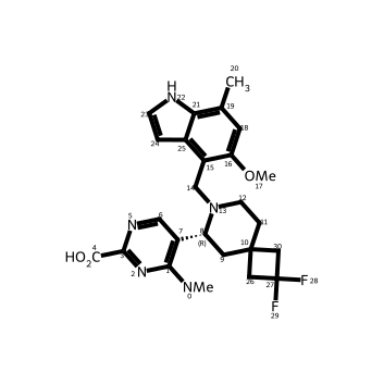 CNc1nc(C(=O)O)ncc1[C@H]1CC2(CCN1Cc1c(OC)cc(C)c3[nH]ccc13)CC(F)(F)C2